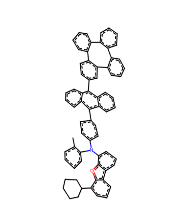 Cc1ccccc1N(c1ccc(-c2c3ccccc3c(-c3ccc4c(c3)-c3ccccc3-c3ccccc3-c3ccccc3-4)c3ccccc23)cc1)c1cccc2c1oc1c(C3CCCCC3)cccc12